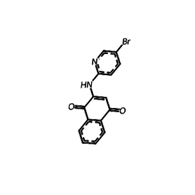 O=C1C=C(Nc2ccc(Br)cn2)C(=O)c2ccccc21